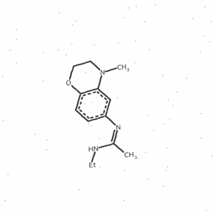 CCN/C(C)=N\c1ccc2c(c1)N(C)CCO2